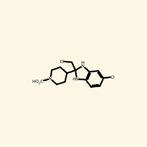 O=C(O)N1CCC(C2(CCl)Nc3ccc(Cl)cc3N2)CC1